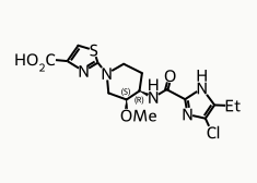 CCc1[nH]c(C(=O)N[C@@H]2CCN(c3nc(C(=O)O)cs3)C[C@@H]2OC)nc1Cl